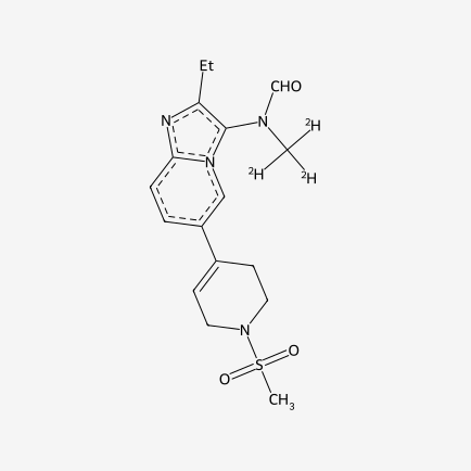 [2H]C([2H])([2H])N(C=O)c1c(CC)nc2ccc(C3=CCN(S(C)(=O)=O)CC3)cn12